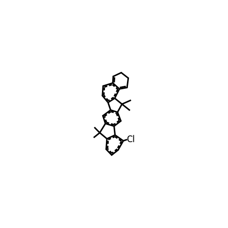 CC1(C)c2cc3c(cc2-c2c(Cl)cccc21)C(C)(C)c1c-3ccc2c1=CCCC=2